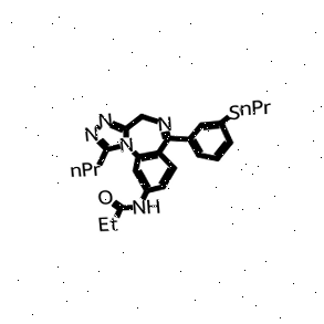 CCCSc1cccc(C2=NCc3nnc(CCC)n3-c3cc(NC(=O)CC)ccc32)c1